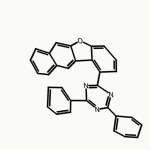 c1ccc(-c2nc(-c3ccccc3)nc(-c3cccc4oc5cc6ccccc6cc5c34)n2)cc1